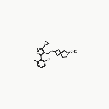 O=CN1CCC2(CC(OCc3c(-c4c(Cl)cccc4Cl)noc3C3CC3)C2)C1